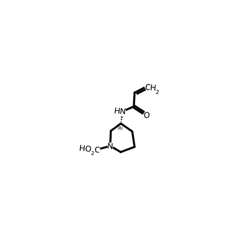 C=CC(=O)N[C@@H]1CCCN(C(=O)O)C1